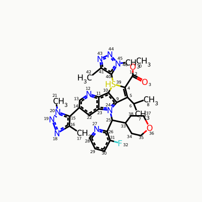 COC(=O)C1=C(C(C)C)c2c(c3ncc(-c4c(C)nnn4C)cc3n2C(c2ncccc2F)C2CCOCC2)[SH]1c1c(C)nnn1C